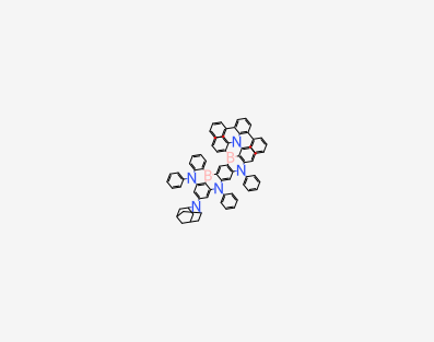 c1ccc(-c2cccc(-c3ccccc3)c2N2c3ccccc3B3c4cc5c(cc4N(c4ccccc4)c4cccc2c43)N(c2ccccc2)c2cc(N3C4CC6CC(C4)CC3C6)cc3c2B5c2ccccc2N3c2ccccc2)cc1